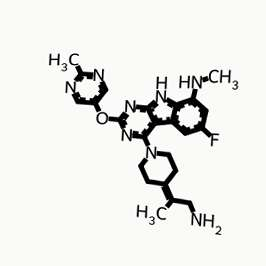 CNc1cc(F)cc2c1[nH]c1nc(Oc3cnc(C)nc3)nc(N3CCC(=C(C)CN)CC3)c12